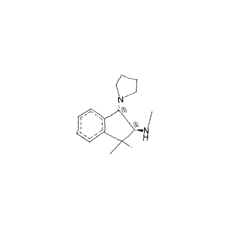 CN[C@@H]1[C@@H](N2CCCC2)c2ccccc2C1(C)C